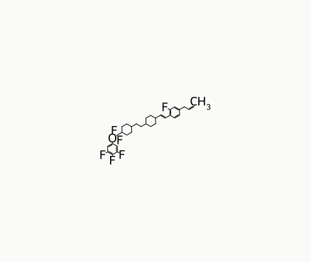 C/C=C\Cc1ccc(/C=C/C2CCC(CCC3CCC(C(F)(F)Oc4cc(F)c(F)c(F)c4)CC3)CC2)c(F)c1